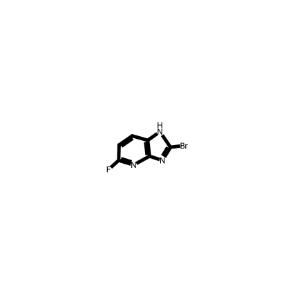 Fc1ccc2[nH]c(Br)nc2n1